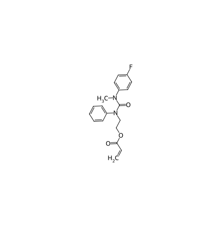 C=CC(=O)OCCN(C(=O)N(C)c1ccc(F)cc1)c1ccccc1